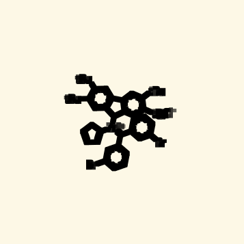 CC(C)(C)c1cc2c(cc1C(C)(C)C)[CH]([Zr+2]([C]1=CC=CC1)=[C](c1cccc(Br)c1)c1cccc(Br)c1)c1cc(C(C)(C)C)c(C(C)(C)C)cc1-2.[Cl-].[Cl-]